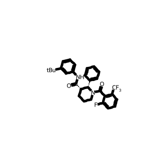 CC(C)(C)c1cccc(NC(=O)[C@H]2CCCN(C(=O)c3c(F)cccc3C(F)(F)F)[C@H]2c2ccccc2)c1